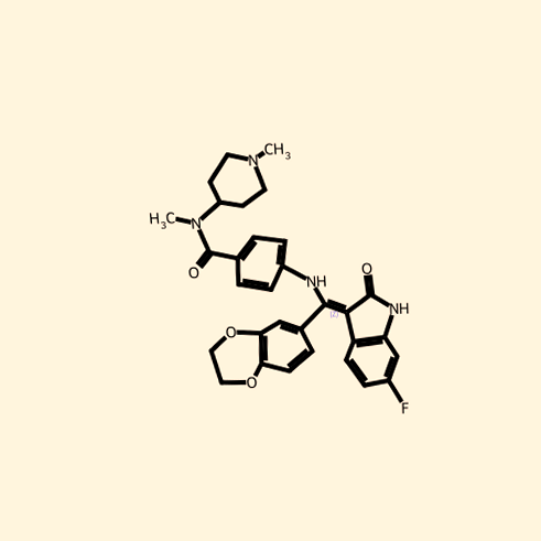 CN1CCC(N(C)C(=O)c2ccc(N/C(=C3\C(=O)Nc4cc(F)ccc43)c3ccc4c(c3)OCCO4)cc2)CC1